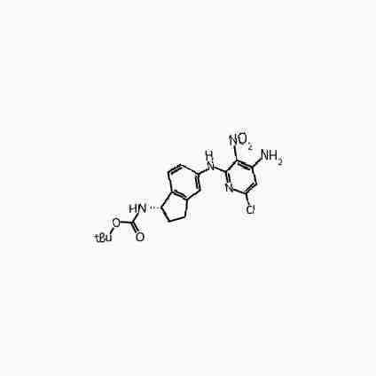 CC(C)(C)OC(=O)N[C@H]1CCc2cc(Nc3nc(Cl)cc(N)c3[N+](=O)[O-])ccc21